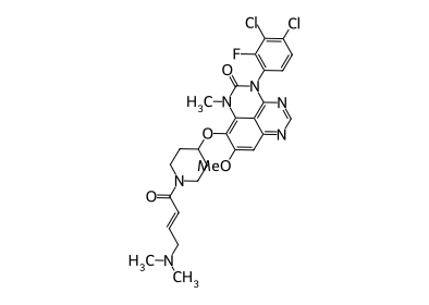 COc1cc2ncnc3c2c(c1OC1CCN(C(=O)/C=C/CN(C)C)CC1)N(C)C(=O)N3c1ccc(Cl)c(Cl)c1F